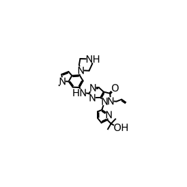 C=CCn1c(=O)c2cnc(Nc3cc(N4CCNCC4)c4ccn(C)c4c3)nc2n1-c1cccc(C(C)(C)O)n1